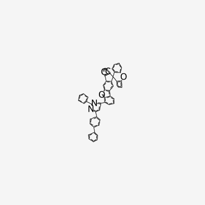 c1ccc(-c2ccc(-c3cc(-c4cccc5c4oc4cc6c(cc45)C4(c5ccccc5Oc5ccccc54)c4ccccc4-6)nc(-c4ccccc4)n3)cc2)cc1